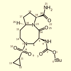 CC(C)(C)OC(=O)N[C@H]1CN(S(=O)(=O)C2CC2)CC[C@H]2CC[C@@H](C(N)=O)N2C1=O